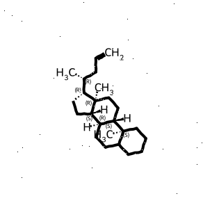 C=CC[C@@H](C)[C@H]1CC[C@H]2[C@@H]3CCC4CCCC[C@]4(C)[C@H]3CC[C@]12C